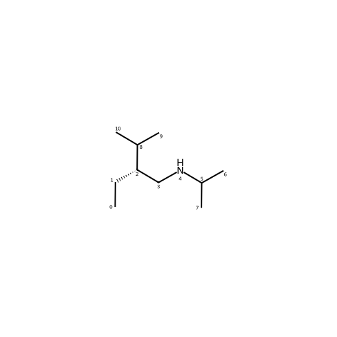 CC[C@@H](CNC(C)C)C(C)C